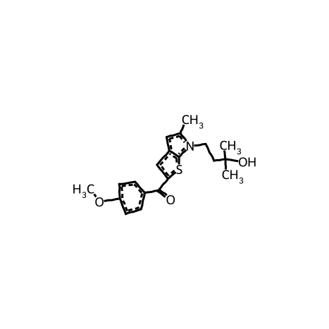 COc1ccc(C(=O)c2cc3cc(C)n(CCC(C)(C)O)c3s2)cc1